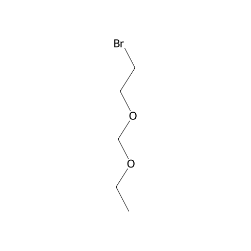 CCOCOCCBr